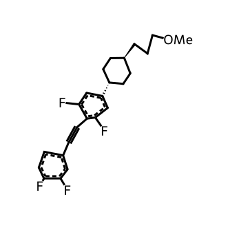 COCCC[C@H]1CC[C@H](c2cc(F)c(C#Cc3ccc(F)c(F)c3)c(F)c2)CC1